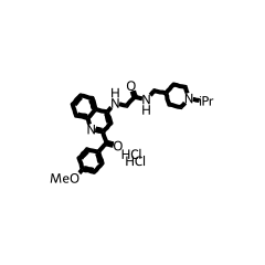 COc1ccc(C(=O)c2cc(NCC(=O)NCC3CCN(C(C)C)CC3)c3ccccc3n2)cc1.Cl.Cl